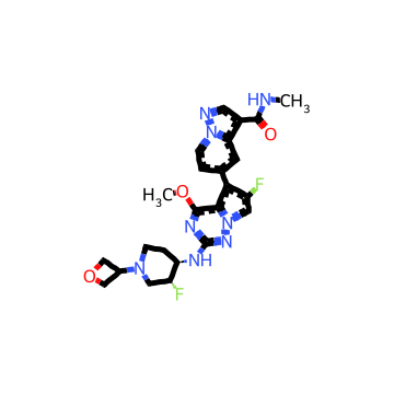 CNC(=O)c1cnn2ccc(-c3c(F)cn4nc(N[C@H]5CCN(C6COC6)C[C@H]5F)nc(OC)c34)cc12